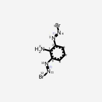 Nc1c(/N=N/Br)cccc1/N=N/Br